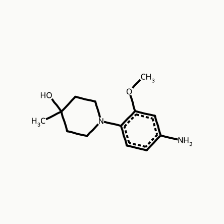 COc1cc(N)ccc1N1CCC(C)(O)CC1